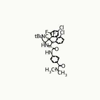 CN(C)C(=O)c1ccc(NC(=O)[C@@H]2N[C@@H](CC(C)(C)C)[C@](C#N)(c3ccc(Cl)cc3F)[C@H]2c2cccc(Cl)c2F)cc1